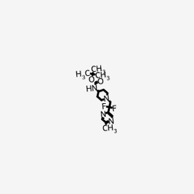 Cc1cnc(C(F)(F)CN2CCC(NC(=O)OC(C)(C)C)CC2)cn1